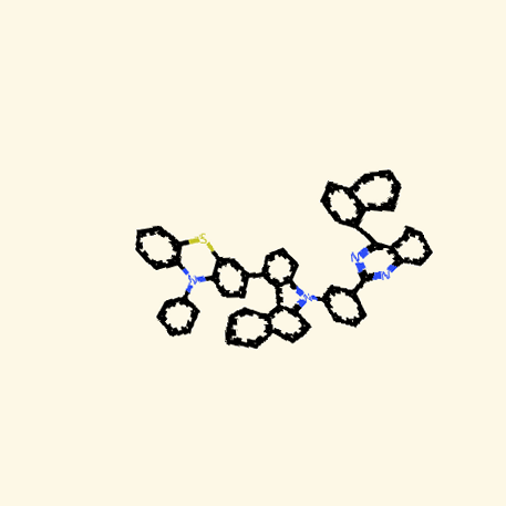 c1ccc(N2c3ccccc3Sc3cc(-c4cccc5c4c4c6ccccc6ccc4n5-c4cccc(-c5nc(-c6cccc7ccccc67)c6ccccc6n5)c4)ccc32)cc1